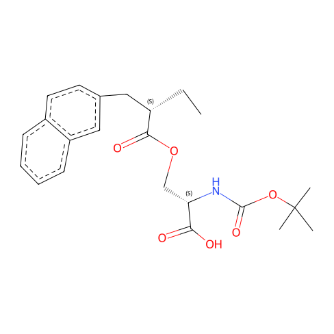 CC[C@@H](Cc1ccc2ccccc2c1)C(=O)OC[C@H](NC(=O)OC(C)(C)C)C(=O)O